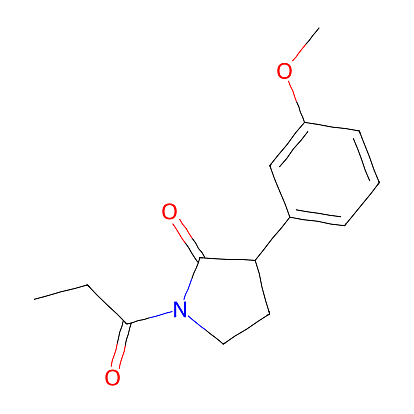 CCC(=O)N1CCC(c2cccc(OC)c2)C1=O